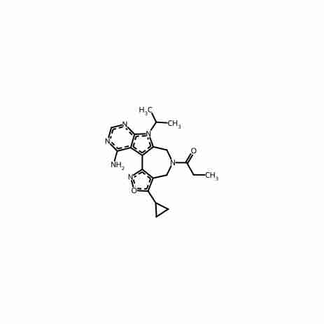 CCC(=O)N1Cc2c(noc2C2CC2)-c2c(n(C(C)C)c3ncnc(N)c23)C1